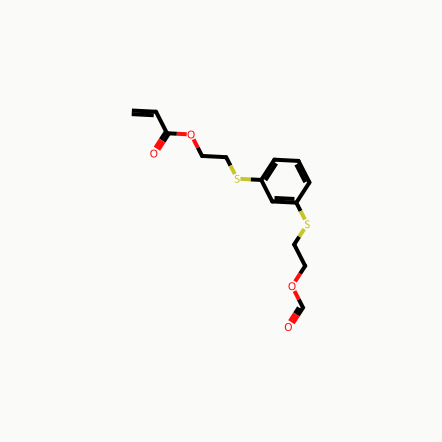 C=CC(=O)OCCSc1cccc(SCCOC=O)c1